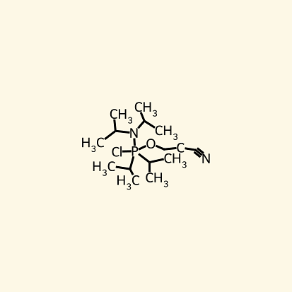 CC(C)N(C(C)C)P(Cl)(OCCC#N)(C(C)C)C(C)C